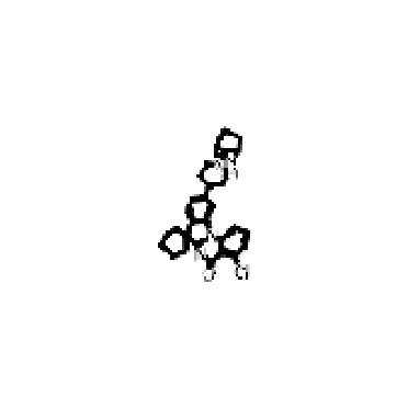 O=c1nc2n(c3cccc(Cl)c13)-c1cc(C3CCN(C4C5CCC4NC5)CC3)ccc1C21CCCCC1